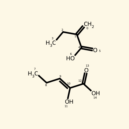 C=C(CC)C(=O)O.CC/C=C(\O)C(=O)O